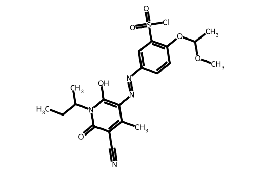 CCC(C)n1c(O)c(N=Nc2ccc(OC(C)OC)c(S(=O)(=O)Cl)c2)c(C)c(C#N)c1=O